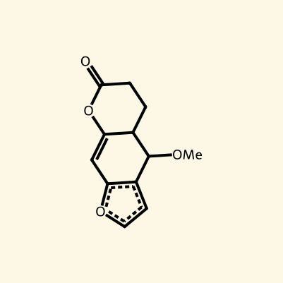 COC1c2ccoc2C=C2OC(=O)CCC21